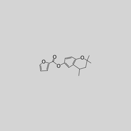 CC1CC(C)(C)Oc2ccc(OC(=O)c3ccco3)cc21